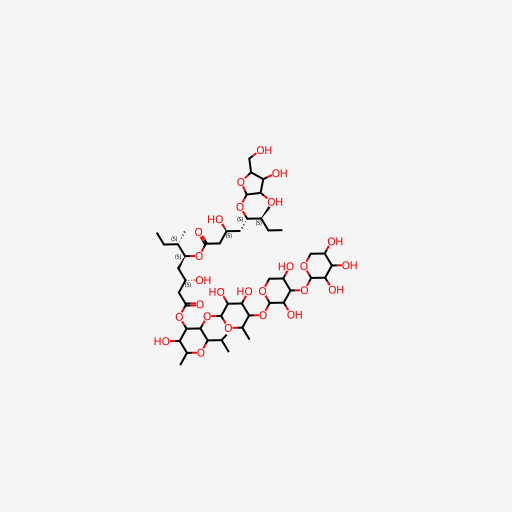 CC[C@H](C)[C@H](C[C@H](O)CC(=O)OC1C(O)C(C)OC(C(C)C)C1OC1OC(C)C(OC2OCC(O)C(OC3OCC(O)C(O)C3O)C2O)C(O)C1O)OC(=O)C[C@@H](O)C[C@H](OC1OC(CO)C(O)C1O)[C@@H](C)CC